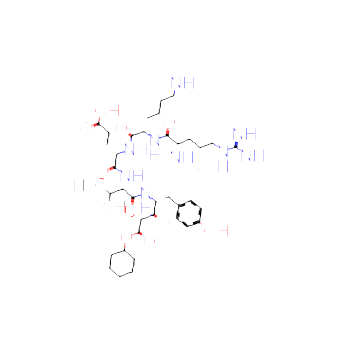 CC(C)[C@H](NC(=O)[C@H](CCC(=O)O)NC(=O)[C@H](CCCCN)NC(=O)[C@@H](N)CCCNC(=N)N)C(=O)N[C@@H](Cc1ccc(O)cc1)C(=O)CC(=O)OC1CCCCC1